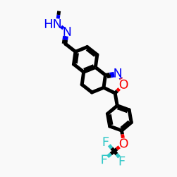 CN/N=C/c1ccc2c(c1)CCC1C2=NOC1c1ccc(OC(F)(F)F)cc1